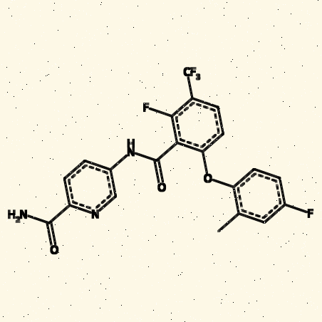 Cc1cc(F)ccc1Oc1ccc(C(F)(F)F)c(F)c1C(=O)Nc1ccc(C(N)=O)nc1